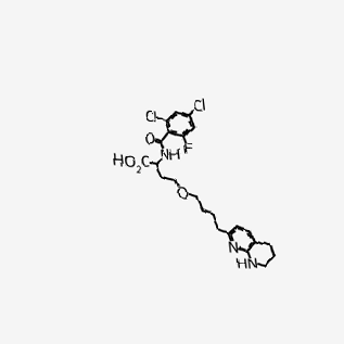 O=C(NC(CCOCCCCc1ccc2c(n1)NCCC2)C(=O)O)c1c(F)cc(Cl)cc1Cl